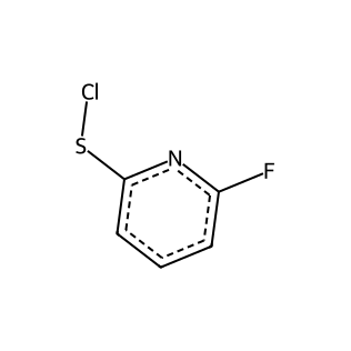 Fc1cccc(SCl)n1